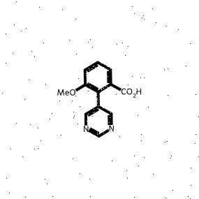 COc1cccc(C(=O)O)c1-c1cncnc1